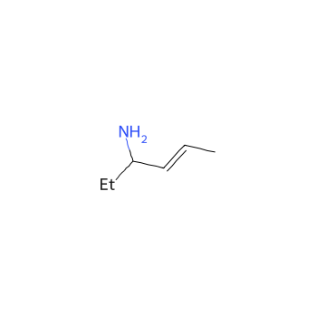 CC=CC(N)CC